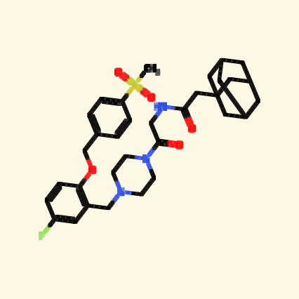 CS(=O)(=O)c1ccc(COc2ccc(F)cc2CN2CCN(C(=O)CNC(=O)CC34CC5CC(CC(C5)C3)C4)CC2)cc1